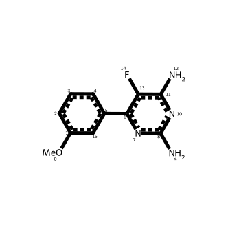 COc1cccc(-c2nc(N)nc(N)c2F)c1